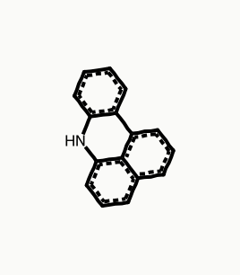 c1ccc2c(c1)Nc1cccc3cccc-2c13